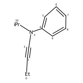 CCC#CN(c1ccccc1)C(C)C